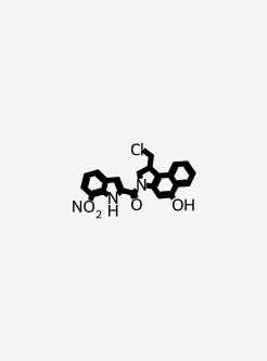 O=C(c1cc2cccc([N+](=O)[O-])c2[nH]1)N1CC(CCl)c2c1cc(O)c1ccccc21